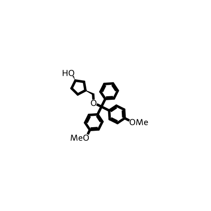 COc1ccc(C(OC[C@H]2CC[C@H](O)C2)(c2ccccc2)c2ccc(OC)cc2)cc1